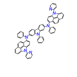 c1ccc(N(c2ccc3c4ccc(N(c5ccccc5)c5ccc6c7c5ccc5cccc(c57)n6-c5ccccn5)cc4n(-c4ccccc4)c3c2)c2ccc3c4c2ccc2cccc(c24)n3-c2ccccn2)cc1